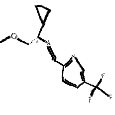 COC[C@@H](N=Cc1ccc(C(F)(F)F)cn1)C1CC1